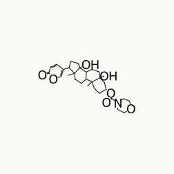 CC12CCC(OC(=O)N3CCOCC3)CC1(O)CCC1C2CCC2(C)C(c3ccc(=O)oc3)CCC12O